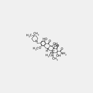 COc1c(CN2CCC(C)(C)CC2)cc(O)c2c1C[C@H]1C[C@H]3[C@H](N(C)C)C(O)=C(C(N)=O)C(=O)[C@@]3(O)C(O)=C1C2=O